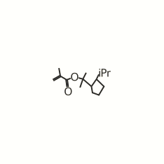 C=C(C)C(=O)OC(C)(C)C1CCCC1C(C)C